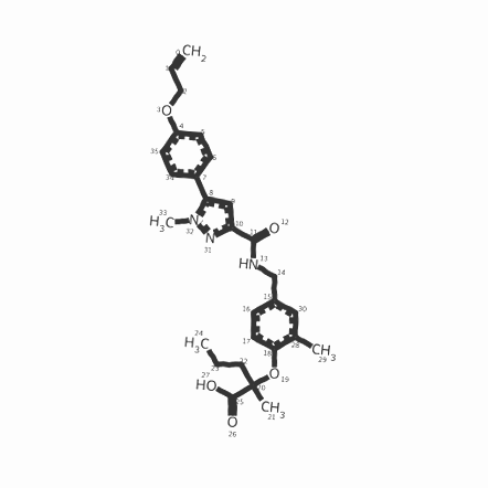 C=CCOc1ccc(-c2cc(C(=O)NCc3ccc(OC(C)(CCC)C(=O)O)c(C)c3)nn2C)cc1